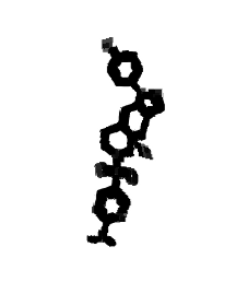 CC[C@]12Cc3cnn(-c4ccc(F)cc4)c3C=C1CCN(S(=O)(=O)c1ccc(N(C)C)nc1)C2